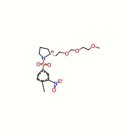 COCCOCOCC[C@H]1CCCN1S(=O)(=O)c1ccc(C)c([N+](=O)[O-])c1